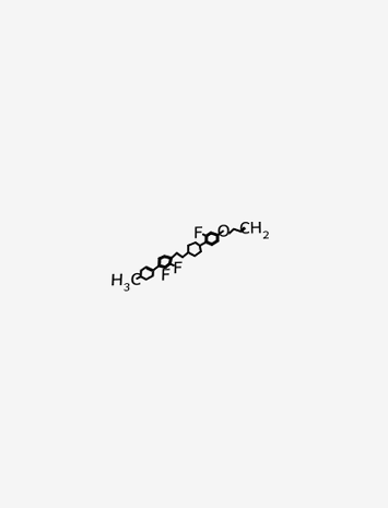 C=CCCOc1ccc(C2CCC(CCc3ccc(C4=CCC(C)CC4)c(F)c3F)CC2)c(F)c1